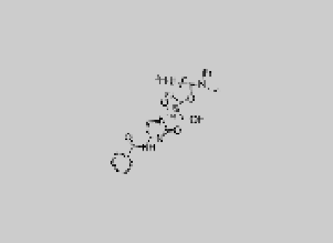 [2H]C[C@H]1O[C@@H](n2ccc(NC(=O)c3ccccc3)nc2=O)[C@H](CO)C1OP(C)N(C(C)C)C(C)C